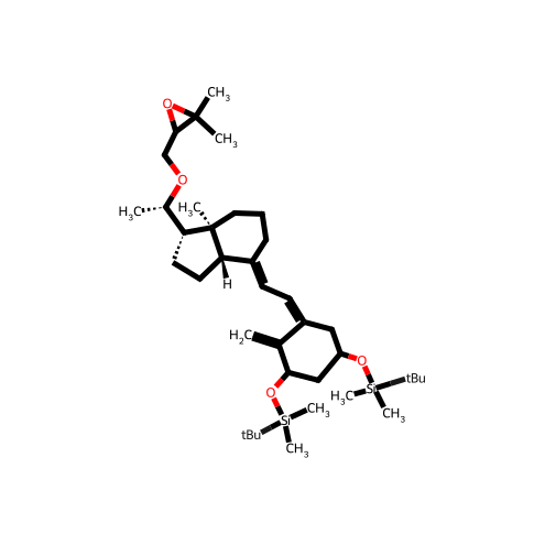 C=C1/C(=C\C=C2/CCC[C@]3(C)[C@@H]([C@H](C)OCC4OC4(C)C)CC[C@@H]23)CC(O[Si](C)(C)C(C)(C)C)CC1O[Si](C)(C)C(C)(C)C